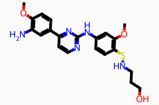 COc1ccc(-c2ccnc(Nc3ccc(SNCCCO)c(OC)c3)n2)cc1N